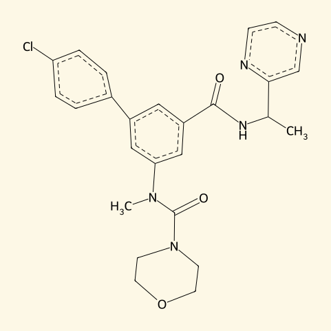 CC(NC(=O)c1cc(-c2ccc(Cl)cc2)cc(N(C)C(=O)N2CCOCC2)c1)c1cnccn1